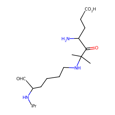 CC(C)NC(C=O)CCCCNC(C)(C)C(=O)C(N)CCC(=O)O